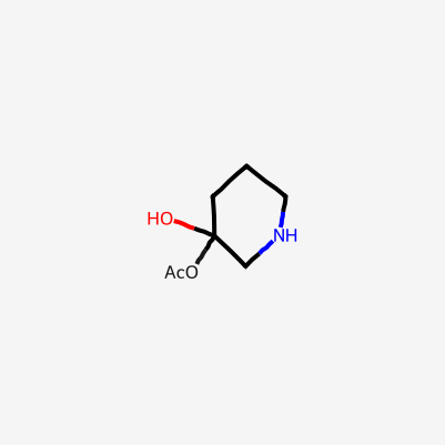 CC(=O)OC1(O)CCCNC1